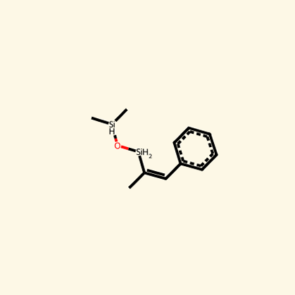 CC(=Cc1ccccc1)[SiH2]O[SiH](C)C